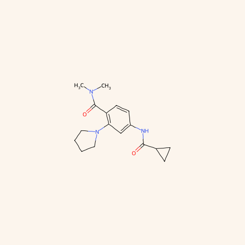 CN(C)C(=O)c1ccc(NC(=O)C2CC2)cc1N1CCCC1